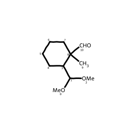 COC(OC)C1CCCCC1(C)C=O